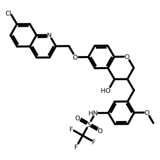 COc1ccc(NS(=O)(=O)C(F)(F)F)cc1CC1COc2ccc(OCc3ccc4ccc(Cl)cc4n3)cc2C1O